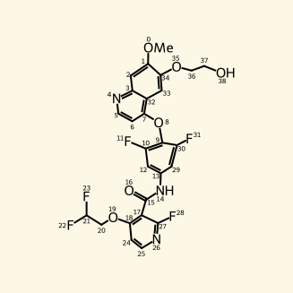 COc1cc2nccc(Oc3c(F)cc(NC(=O)c4c(OCC(F)F)ccnc4F)cc3F)c2cc1OCCO